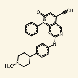 C#Cc1cc(=O)n(-c2ccccc2)c2nc(Nc3ccc(C4CCN(C)CC4)cc3)ncc12